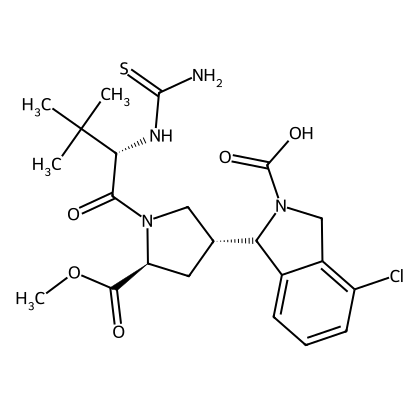 COC(=O)[C@@H]1C[C@@H](C2c3cccc(Cl)c3CN2C(=O)O)CN1C(=O)[C@@H](NC(N)=S)C(C)(C)C